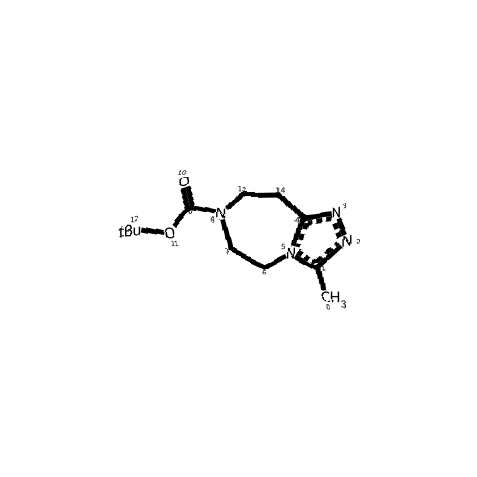 Cc1nnc2n1CCN(C(=O)OC(C)(C)C)CC2